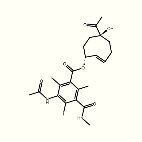 CNC(=O)c1c(I)c(NC(C)=O)c(I)c(C(=O)O[C@H]2/C=C/CC[C@@](O)(C(C)=O)CC2)c1I